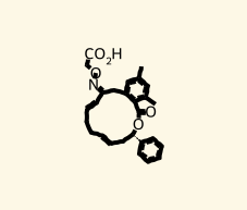 Cc1cc(C)c2c(c1)CC(=NOCC(=O)O)/C=C/CC/C=C/C[C@@H](c1ccccc1)OC2=O